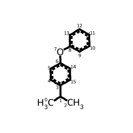 CC(C)c1ccc(Oc2cc[c]cc2)cc1